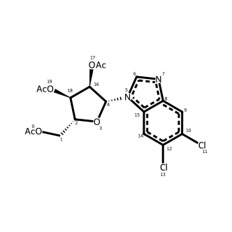 CC(=O)OC[C@H]1O[C@@H](n2cnc3cc(Cl)c(Cl)cc32)[C@H](OC(C)=O)[C@@H]1OC(C)=O